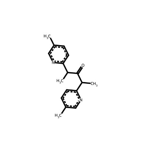 Cc1ccc(C(C)C(=O)C(C)c2ccc(C)cn2)nc1